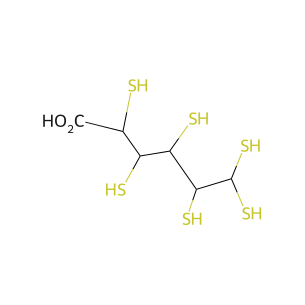 O=C(O)C(S)C(S)C(S)C(S)C(S)S